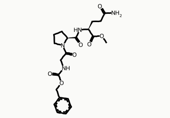 COC(=O)[C@H](CCC(N)=O)NC(=O)[C@@H]1CCCN1C(=O)CNC(=O)OCc1ccccc1